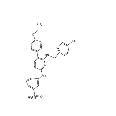 CCOc1ccc(-c2cnc(Nc3cccc([SH](=N)=O)c3)nc2NCc2ccc(C)cc2)cc1